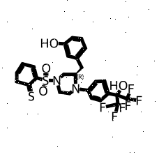 O=S(=O)(C1=CC=CCC1=S)N1CCN(c2ccc(C(O)(C(F)(F)F)C(F)(F)F)cc2)[C@H](Cc2cccc(O)c2)C1